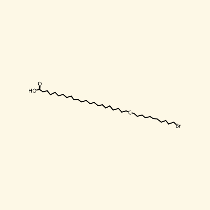 O=C(O)CCCCCCCCCCCCCCCCCCCCCCCCCCCCCCCCCCBr